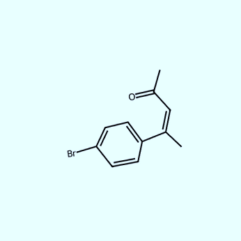 CC(=O)/C=C(/C)c1ccc(Br)cc1